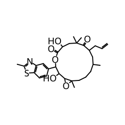 C=CCC1CC(C)CCCC2(C)OC2C(O)C(c2ccc3sc(C)nc3c2)OC(=O)C(O)CC(C)(C)C1=O